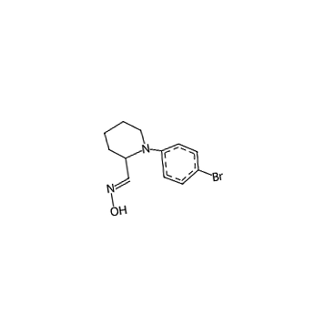 O/N=C/C1CCCCN1c1ccc(Br)cc1